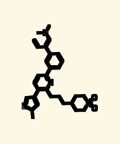 C=C/C(=C\N(C)C)c1cccc(-c2ccc(C3=CC(C)N=C3)c(CCCC3CCS(=O)(=O)CC3)n2)c1